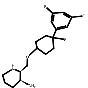 N[C@H]1CCCN[C@H]1COC1CCC(F)(c2cc(F)cc(F)c2)CC1